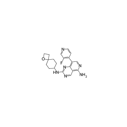 Nc1ncc(-c2ccncc2F)c2nc(NC3CCC4(CCO4)CC3)ncc12